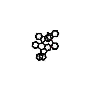 c1ccc(-c2nc(-c3ccccc3C3(c4ccccc4)c4ccccc4C4(c5ccccc5)c5ccccc5-c5cccc3c54)nc3ccccc23)cc1